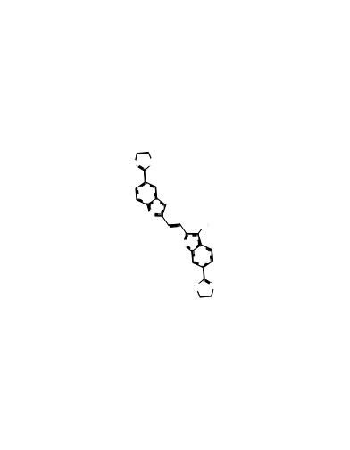 Nc1c(/C=C/c2cc3cc(C4=NCCN4)ccc3o2)[nH]c2cc(C3=NCCN3)ccc12